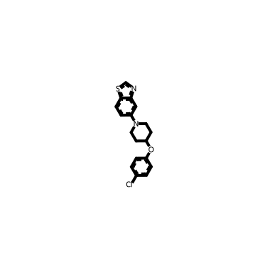 Clc1ccc(OC2CCN(c3ccc4scnc4c3)CC2)cc1